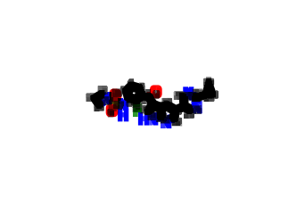 O=C(c1cccc(NS(=O)(=O)N2CCC2)c1F)c1c[nH]c2ncc(-c3cnc(C4CC4)nc3)cc12